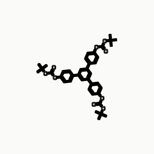 CC(C)(C)OC(=O)Oc1ccc(-c2cc(-c3ccc(OC(=O)OC(C)(C)C)cc3)cc(-c3ccc(OC(=O)OC(C)(C)C)cc3)c2)cc1